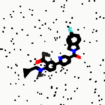 COC(=O)c1cc(-c2ccc(C(=O)N3Cc4ccc(F)cc4C3)cn2)ccc1N(CC1CC1)C(C)=O